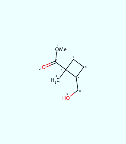 COC(=O)C1(C)CCC1CO